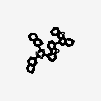 C1=Cc2cc(-c3nc(-c4ccc5c(c4)C=CCC5)nc(-c4cccc5oc6c(-c7cc8ccccc8c8oc9ccccc9c78)cccc6c45)n3)ccc2CC1